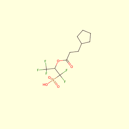 O=C(CCC1CCCC1)OC(C(F)(F)F)C(F)(F)S(=O)(=O)O